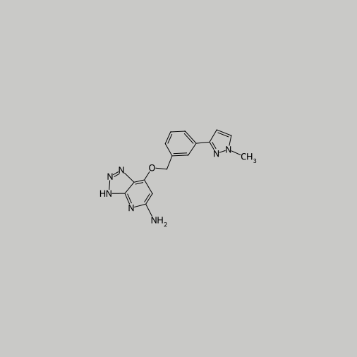 Cn1ccc(-c2cccc(COc3cc(N)nc4[nH]nnc34)c2)n1